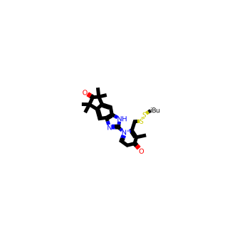 CCC(C)SSCC1=C(C)C(=O)CC=[N+]1c1nc2cc3c(cc2[nH]1)C(C)(C)C(=O)C3(C)C